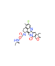 C=C(CC)NCOCC(=O)N(C)C1CCc2c(C)c(F)cc3nc4c(c1c23)Cn1c-4cc2c(c1=O)COC(=C)C2CC